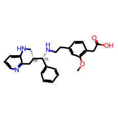 COc1cc(CCN[C@H](c2ccccc2)[C@H]2CNc3cccnc3C2)ccc1CC(=O)O